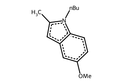 CCCCn1c(C)cc2cc(OC)ccc21